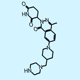 Cc1nn(C2CCC(=O)NC2=O)c(=O)c2cc(N3CCC(CN4CCNCC4)CC3)ccc12